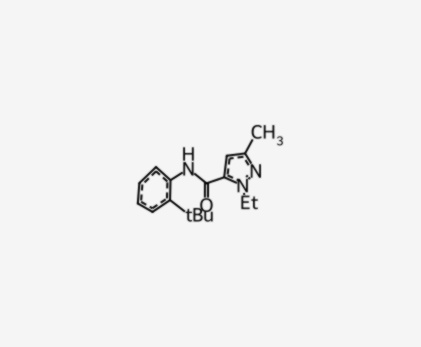 CCn1nc(C)cc1C(=O)Nc1ccccc1C(C)(C)C